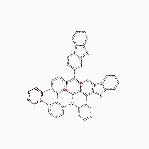 c1ccc(-c2ccccc2-c2c(-c3ccccc3)cccc2N(c2ccc(-c3ccc4c(c3)sc3ccccc34)cc2)c2ccccc2-c2cccc3c2sc2ccccc23)cc1